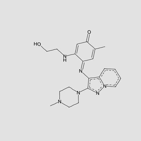 CC1=C/C(=N\c2c(N3CCN(C)CC3)nn3ccccc23)C(NCCO)=CC1=O